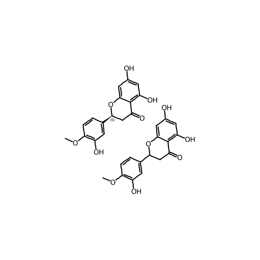 COc1ccc(C2CC(=O)c3c(O)cc(O)cc3O2)cc1O.COc1ccc([C@@H]2CC(=O)c3c(O)cc(O)cc3O2)cc1O